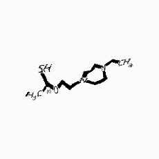 CCN1CCN(CCO[C@@H](C)S)CC1